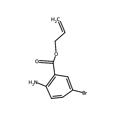 C=CCOC(=O)c1cc(Br)ccc1N